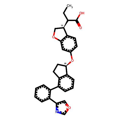 CCC(C(=O)O)[C@@H]1COc2cc(O[C@@H]3CCc4c(-c5ccccc5-c5cocn5)cccc43)ccc21